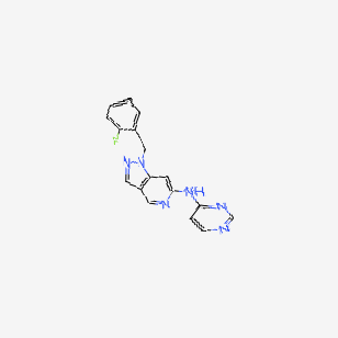 Fc1ccccc1Cn1ncc2cnc(Nc3ccncn3)cc21